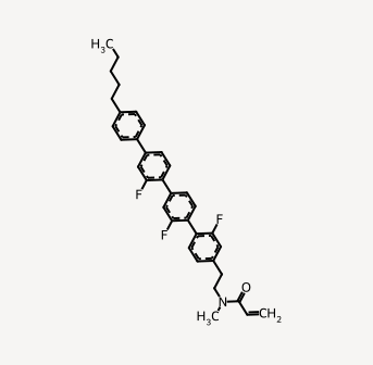 C=CC(=O)N(C)CCc1ccc(-c2ccc(-c3ccc(-c4ccc(CCCCC)cc4)cc3F)cc2F)c(F)c1